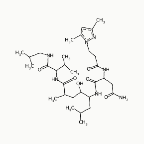 Cc1cc(C)n(CCC(=O)NC(CC(N)=O)C(=O)NC(CC(C)C)C(O)CC(C)C(=O)NC(C(=O)NCC(C)C)C(C)C)n1